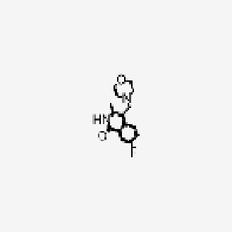 Cc1[nH]c(=O)c2cc(F)ccc2c1CN1CCOCC1